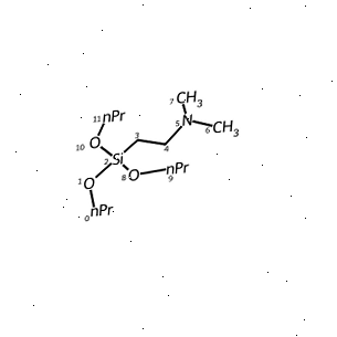 CCCO[Si](CCN(C)C)(OCCC)OCCC